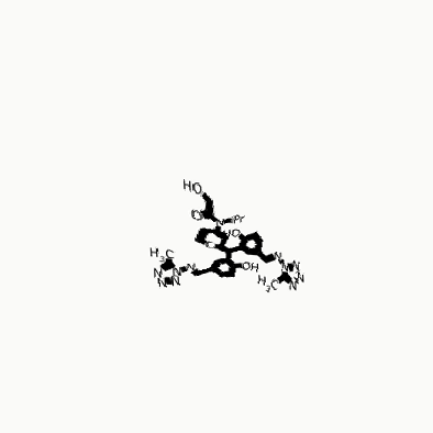 Cc1nnnn1N=Cc1ccc(O)c(C(=C2C=C(N(C(=O)CO)C(C)C)C=CC2)c2cc(C=Nn3nnnc3C)ccc2O)c1